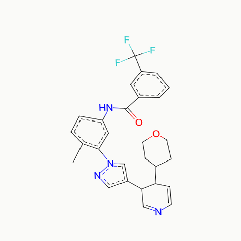 Cc1ccc(NC(=O)c2cccc(C(F)(F)F)c2)cc1-n1cc(C2C=NC=CC2C2CCOCC2)cn1